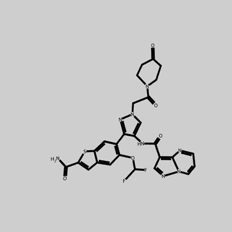 NC(=O)c1cc2cc(OC(F)F)c(-c3nn(CC(=O)N4CCC(=O)CC4)cc3NC(=O)c3cnn4cccnc34)cc2s1